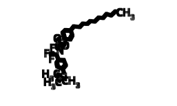 CCCCCCCCCCCCc1ccc(S(=O)(=O)ON=C(c2ccc(C[Si](C)(C)C)cc2)C(F)(F)F)cc1